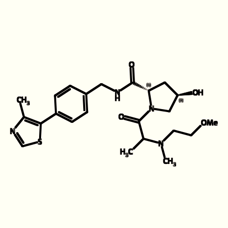 COCCN(C)C(C)C(=O)N1C[C@H](O)C[C@H]1C(=O)NCc1ccc(-c2scnc2C)cc1